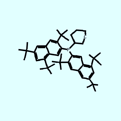 CC(C)(C)c1cc(C(C)(C)C)c2cc(P(c3cc4c(C(C)(C)C)cc(C(C)(C)C)cc4cc3C(C)(C)C)C3CCCCC3)c(C(C)(C)C)cc2c1